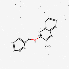 O=[C]c1cc2ccccc2cc1OCc1ccccc1